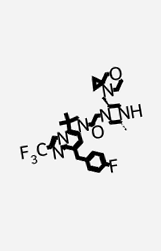 C[C@@H]1CN(CC(=O)N2CC(C)(C)c3c2cc(Cc2ccc(F)cc2)c2nc(C(F)(F)F)cn32)[C@@H](CN2CCOCC23CC3)CN1